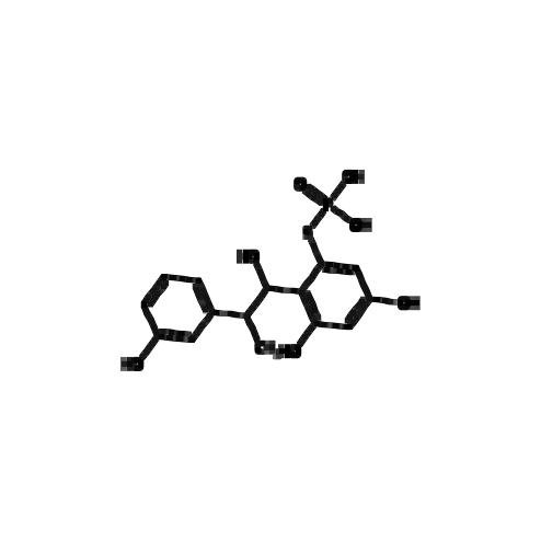 CC(c1cccc(O)c1)C(O)c1c(O)cc(O)cc1SP(=O)(O)O